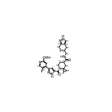 COc1cc(-c2cc(C(=O)N3CCC(C(=O)NCC4CCc5n[nH]cc5C4)CC34CC4)[nH]n2)c(F)cn1